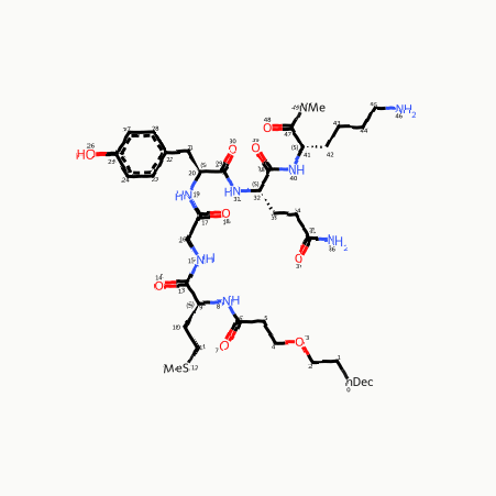 CCCCCCCCCCCCOCCC(=O)N[C@@H](CCSC)C(=O)NCC(=O)N[C@@H](Cc1ccc(O)cc1)C(=O)N[C@@H](CCC(N)=O)C(=O)N[C@@H](CCCCN)C(=O)NC